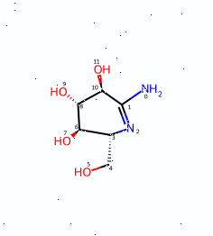 NC1=N[C@H](CO)[C@@H](O)[C@H](O)[C@H]1O